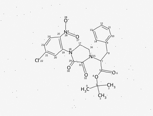 CC(C)(C)OC(=O)C(Cc1ccccc1)N1CCN(c2cc(Cl)ccc2[N+](=O)[O-])C(=O)C1=O